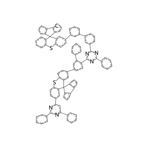 c1ccc(-c2cc(-c3ccc4c(c3)C3(c5cc(-c6ccc(-c7nc(-c8ccccc8)nc(-c8cccc(-c9cccc(-c%10ccc%11c(c%10)C%10(c%12ccccc%12S%11)c%11ccccc%11-c%11ccccc%11%10)c9)c8)n7)c(-c7ccccc7)c6)ccc5S4)c4ccccc4-c4ccccc43)nc(-c3ccccc3)n2)cc1